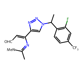 CN/C(C)=N\C(=C/C=O)c1cn(C(C)c2ccc(C(F)(F)F)cc2F)nn1